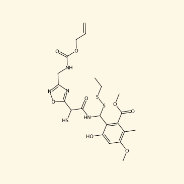 C=CCOC(=O)NCc1noc(C(S)C(=O)NC(SSCC)c2c(O)cc(OC)c(C)c2C(=O)OC)n1